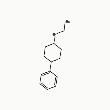 CC(C)(C)CNC1CCC(c2ccccc2)CC1